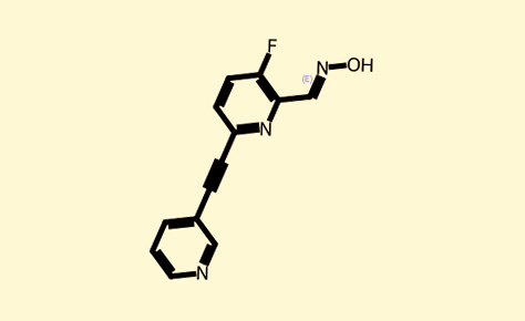 O/N=C/c1nc(C#Cc2cccnc2)ccc1F